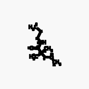 CCCNC(=O)C(C)(C)COC